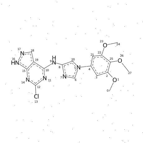 COc1cc(-n2cnc(Nc3nc(Cl)nc4[nH]ncc34)c2)cc(OC)c1OC